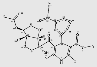 COC(=O)C1=C(C)NC(C)=C(C(=O)[C@@]2(O)CO[C@@H]3[C@@H](OC(C)=O)CO[C@@H]32)C1c1cccc([N+](=O)[O-])c1